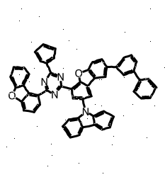 c1ccc(-c2cccc(-c3ccc4oc5c(-c6nc(-c7ccccc7)nc(-c7cccc8oc9ccccc9c78)n6)cc(-n6c7ccccc7c7ccccc76)cc5c4c3)c2)cc1